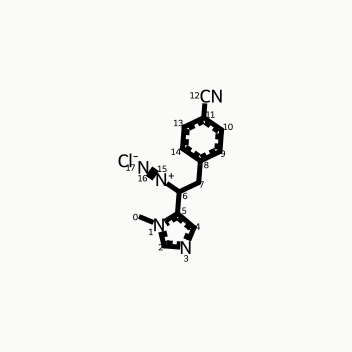 Cn1cncc1C(Cc1ccc(C#N)cc1)[N+]#N.[Cl-]